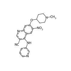 CN1CCC(Oc2cc3ncc(C#N)c(Nc4cccnc4)c3cc2[N+](=O)[O-])CC1